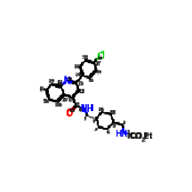 CCOC(=O)NC[C@H]1CC[C@H](CNC(=O)c2cc(-c3ccc(Cl)cc3)nc3ccccc23)CC1